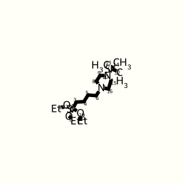 CCO[Si](CCCCN1CCN([Si](C)(C)C)CC1)(OCC)OCC